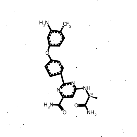 C[C@H](Nc1cc(C(N)=O)nc(-c2ccc(Oc3ccc(C(F)(F)F)c(N)c3)cc2)n1)C(N)=O